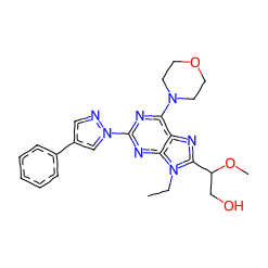 CCn1c(C(CO)OC)nc2c(N3CCOCC3)nc(-n3cc(-c4ccccc4)cn3)nc21